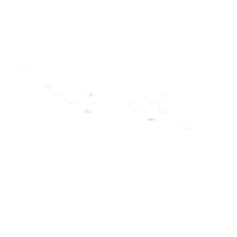 CCCCCCCCCc1cnc(-c2ccc(OC(=O)c3ccc(CCCCCC)c(Cl)c3)cc2)nc1